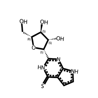 OC[C@H]1O[C@@H](c2nc3[nH]ccc3c(=S)[nH]2)[C@@H](O)[C@@H]1O